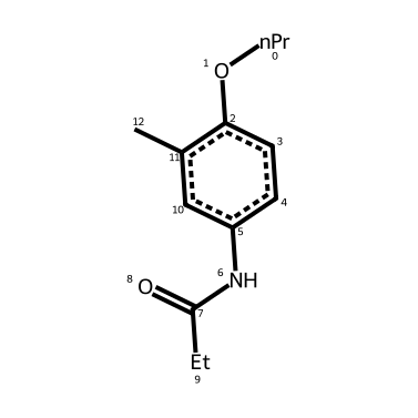 CCCOc1ccc(NC(=O)CC)cc1C